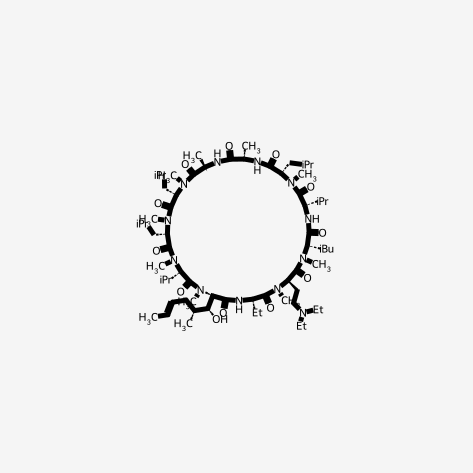 C/C=C/C[C@@H](C)[C@@H](O)[C@H]1C(=O)N[C@@H](CC)C(=O)N(C)[C@H](CCN(CC)CC)C(=O)N(C)[C@@H](C(C)CC)C(=O)N[C@@H](C(C)C)C(=O)N(C)[C@@H](CC(C)C)C(=O)N[C@@H](C)C(=O)N[C@H](C)C(=O)N(C)[C@@H](CC(C)C)C(=O)N(C)[C@@H](CC(C)C)C(=O)N(C)[C@@H](C(C)C)C(=O)N1C